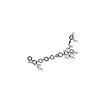 CCNc1nnc(-c2ccccc2O)cc1N1CCN(c2ncc(C3CCN([C@H]4CC5(CC[C@H](C(=O)N[C@H](C(=O)N6C[C@H](O)C[C@H]6C(=O)NCC#Cc6ccc(Cl)cc6C)C(C)(C)C)CC5)C4)CC3)cn2)CC1